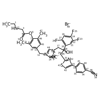 CCNCC(=O)Oc1c(C)cc(C[n+]2cnn(C[C@](O)(c3cc(F)c(F)cc3F)[C@@H](C)c3nc(-c4ccc(C#N)cc4)cs3)c2)cc1C.[Br-]